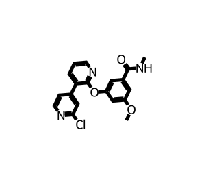 CNC(=O)c1cc(OC)cc(Oc2ncccc2-c2ccnc(Cl)c2)c1